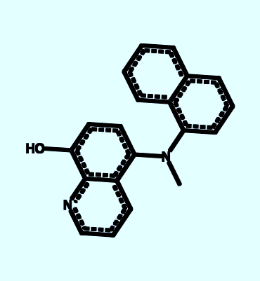 CN(c1cccc2ccccc12)c1ccc(O)c2ncccc12